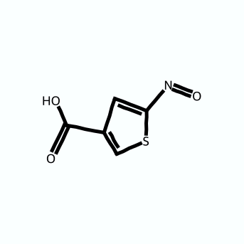 O=Nc1cc(C(=O)O)cs1